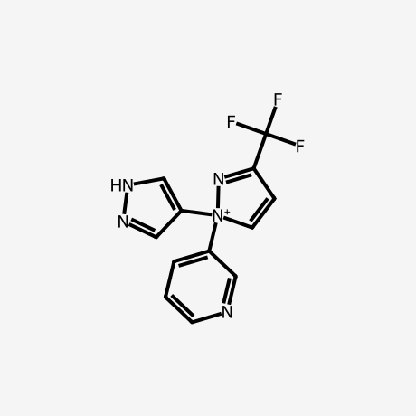 FC(F)(F)C1=N[N+](c2cccnc2)(c2cn[nH]c2)C=C1